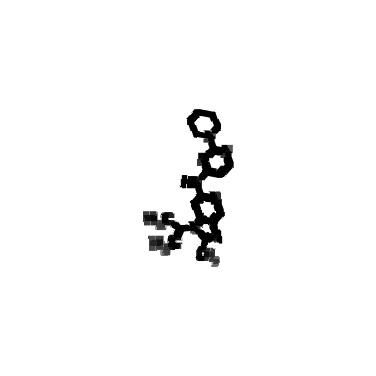 Cc1nc2cnc(Nc3ccnc(N4CCCCC4)n3)cc2n1C(C)C